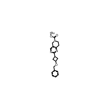 CC(C)(C)OC(=O)N1CCc2nc(C3CC(OCc4ccccc4)C3)ncc2C1